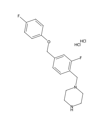 Cl.Cl.Fc1ccc(OCc2ccc(CN3CCNCC3)c(F)c2)cc1